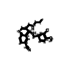 CCCNCc1cnc2ccc(C#N)cc2c1NCc1ccc(OC)c(Cl)c1